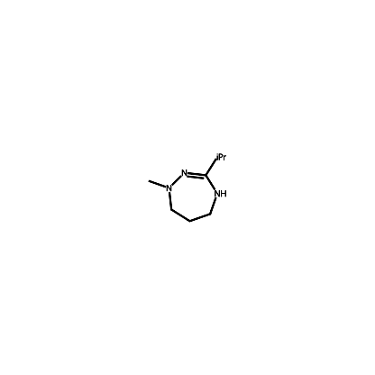 CC(C)C1=NN(C)CCCN1